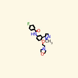 Cn1nccc1-c1cc(NC(=O)c2ccc(F)cc2)ccc1OCCN1CCOCC1